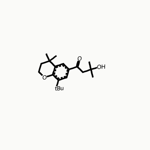 CC(C)(O)CC(=O)c1cc(C(C)(C)C)c2c(c1)C(C)(C)CCO2